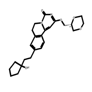 O=c1nc(OC[C@H]2COCCO2)cc2n1CCc1cc(CCC3(O)CCCC3)ccc1-2